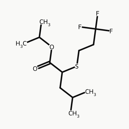 CC(C)CC(SCCC(F)(F)F)C(=O)OC(C)C